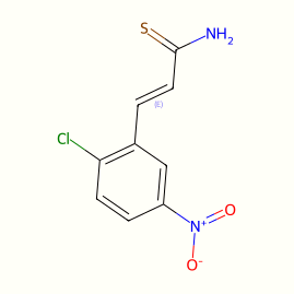 NC(=S)/C=C/c1cc([N+](=O)[O-])ccc1Cl